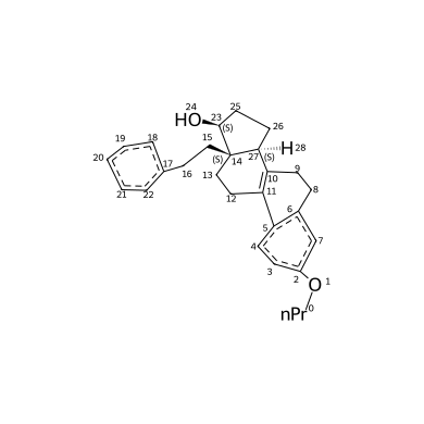 CCCOc1ccc2c(c1)CCC1=C2CC[C@]2(CCc3ccccc3)[C@@H](O)CC[C@@H]12